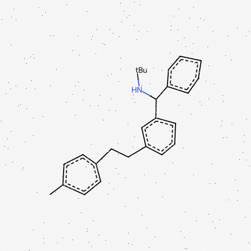 Cc1ccc(CCc2cccc(C(NC(C)(C)C)c3ccccc3)c2)cc1